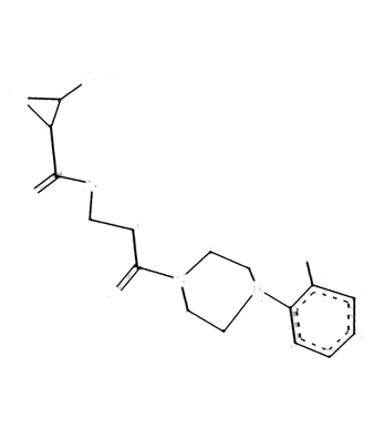 CCOC(=O)C1OC1C(=O)NCCC(=O)N1CCN(c2ccccc2Cl)CC1